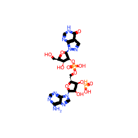 Nc1ncnc2c1ncn2[C@@H]1O[C@H](COP(=O)(O)O[C@@H]2[C@H](O)[C@@H](CO)O[C@H]2n2ncc3c(=O)[nH]cnc32)[C@@H](O[PH](=O)O)[C@H]1O